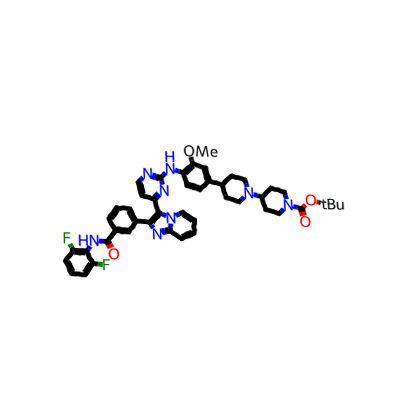 COc1cc(C2CCN(C3CCN(C(=O)OC(C)(C)C)CC3)CC2)ccc1Nc1nccc(-c2c(-c3cccc(C(=O)Nc4c(F)cccc4F)c3)nc3ccccn23)n1